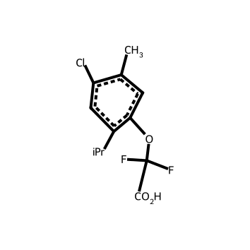 Cc1cc(OC(F)(F)C(=O)O)c(C(C)C)cc1Cl